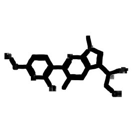 CCC[C@@H](CO)c1cn(C)c2nc(-c3ccc(OCC)nc3CC)c(C)cc12